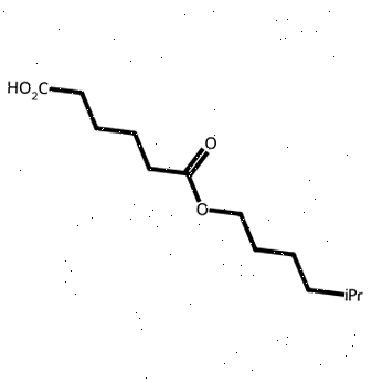 CC(C)CCCCOC(=O)CCCCC(=O)O